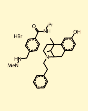 Br.CC1C2Cc3ccc(O)cc3C1(C)CCN2CCc1ccccc1.CNNCc1ccc(C(=O)NC(C)C)cc1